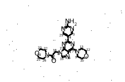 Nc1ncc(-c2nc(N3CCOCC3)c3ncn(CC(=O)N4CCOCC4)c3n2)cn1